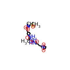 CCN(CC[S+](C)[O-])C(=O)OCc1ccc(NC(=O)C(C)NC(=O)CNC(=O)CCCCCN2C(=O)C=CC2=O)cc1